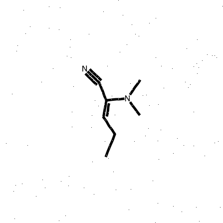 CC/C=C(/C#N)N(C)C